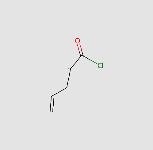 C=CC[CH]C(=O)Cl